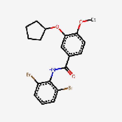 CCOc1ccc(C(=O)Nc2c(Br)cccc2Br)cc1OC1CCCC1